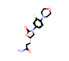 NC(=O)CC[C@H]1CN(c2ccc(N3CCOCC3)c(F)c2)C(=O)O1